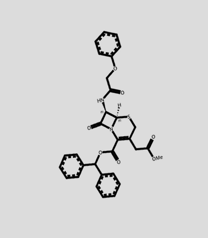 COC(=O)CC1=C(C(=O)OC(c2ccccc2)c2ccccc2)N2C(=O)[C@@H](NC(=O)COc3ccccc3)[C@H]2SC1